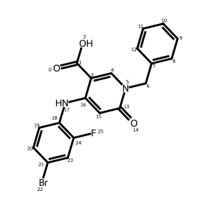 O=C(O)c1cn(Cc2ccccc2)c(=O)cc1Nc1ccc(Br)cc1F